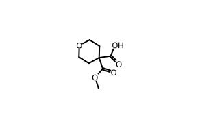 COC(=O)C1(C(=O)O)CCOCC1